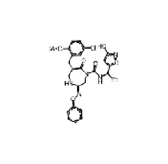 CCC(NC(=O)N1C/C(=N/Oc2ccccc2)NC[C@@H](Cc2cc(Cl)ccc2OC)C1=O)c1cc(O)no1